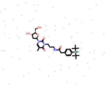 Cc1cn(C2C[C@H](O)[C@@H](CO)O2)c(=O)n(CCCNC(=O)Cc2ccc([Si](F)(C(C)(C)C)C(C)(C)C)cc2)c1=O